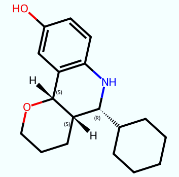 Oc1ccc2c(c1)[C@H]1OCCC[C@H]1[C@@H](C1CCCCC1)N2